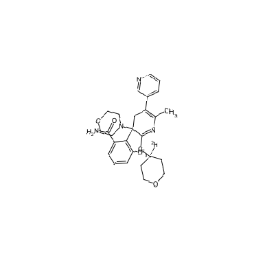 [2H]C1(OC2=NC(C)=C(c3cccnc3)CC2(c2c(C(N)=O)cccc2C(F)(F)F)N2CCOCC2)CCOCC1